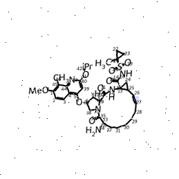 COc1ccc2c(O[C@@H]3C[C@H]4C(=O)N[C@]5(C(=O)NS(=O)(=O)C6(C)CC6)CC5/C=C\CCCCC[C@H](N)C(=O)N4C3)cc(OC(C)C)nc2c1C